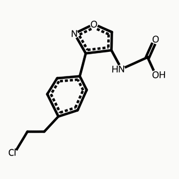 O=C(O)Nc1conc1-c1ccc(CCCl)cc1